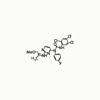 COC[C@H](C)Nc1nccc(N(C(=O)Nc2cc(Cl)c(Cl)cc2Cl)c2ccc(F)cc2)n1